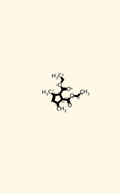 CCOC(=O)C1C(C)=CC(C)C1C(=O)OCC